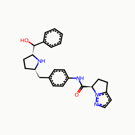 O=C(Nc1ccc(C[C@@H]2CC[C@H](C(O)c3ccccc3)N2)cc1)[C@H]1CCc2ccnn21